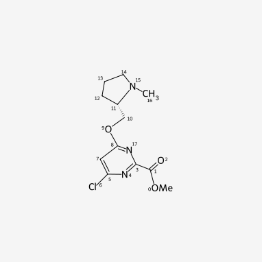 COC(=O)c1nc(Cl)cc(OC[C@@H]2CCCN2C)n1